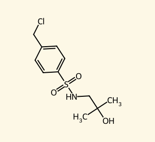 CC(C)(O)CNS(=O)(=O)c1ccc(CCl)cc1